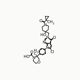 CC1(C(=O)N2CCC(O)(Cn3cnc4c(cc(Cl)n4-c4ccc(C5(C)COCCN5C(=O)O)cc4)c3=O)CC2)CC1